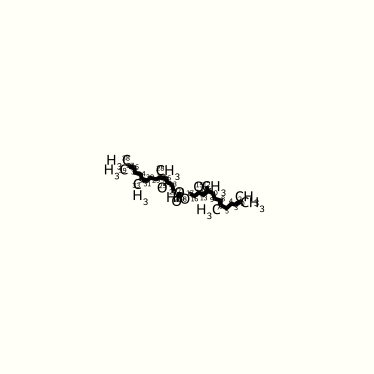 CC(C)=CCCC(C)=CCCC(C)=CC(=O)CCO[PH](=O)OCCC(=O)C=C(C)CCC=C(C)CCC=C(C)C